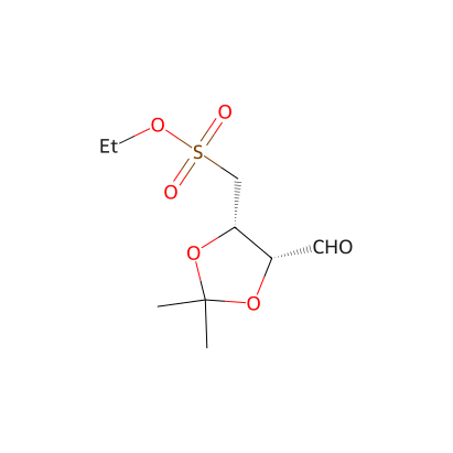 CCOS(=O)(=O)C[C@H]1OC(C)(C)O[C@H]1C=O